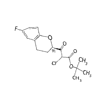 CC(C)(C)OC(=O)C(Cl)C(=O)[C@H]1CCc2cc(F)ccc2O1